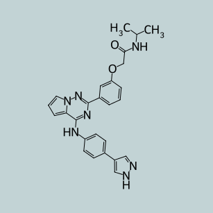 CC(C)NC(=O)COc1cccc(-c2nc(Nc3ccc(-c4cn[nH]c4)cc3)c3cccn3n2)c1